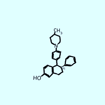 CC1CCN(c2ccc(C3c4ccc(O)cc4CC[C@@H]3c3ccccc3)cc2)CC1